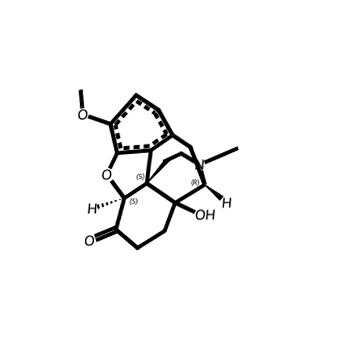 COc1ccc2c3c1O[C@@H]1C(=O)CCC4(O)[C@@H](C2)N(C)CC[C@]314